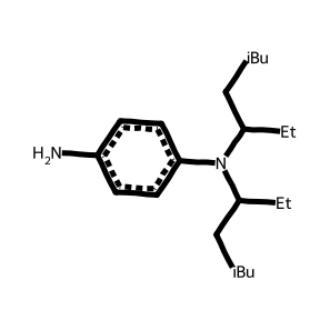 CCC(C)CC(CC)N(c1ccc(N)cc1)C(CC)CC(C)CC